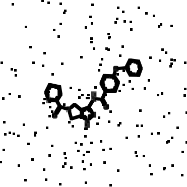 O=C(Nc1n[nH]c2c1CN(C(=O)c1ccccn1)C2)c1ccc(Oc2ccccc2)cc1